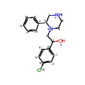 OC(CN1CCNCC1c1ccccc1)c1ccc(Cl)cc1